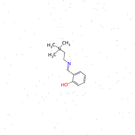 C[Si](C)(C)CC/N=C/c1ccccc1O